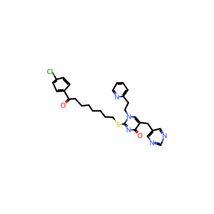 O=C(CCCCCCCSc1nc(=O)c(Cc2cncnc2)cn1CCc1ccccn1)c1ccc(Cl)cc1